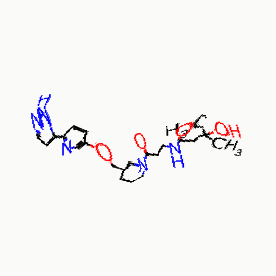 CC(C)(O)CC(=O)NCCC(=O)N1CCC[C@@H](COc2ccc(-c3ccn[nH]3)nc2)C1